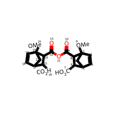 COC12C=CC(C1)C(C(=O)O)C2C(=O)OC(=O)C1C(C(=O)O)C2C=CC1(OC)C2